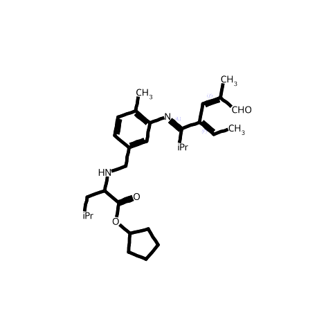 C/C=C(\C=C(\C)C=O)C(=N/c1cc(CNC(CC(C)C)C(=O)OC2CCCC2)ccc1C)/C(C)C